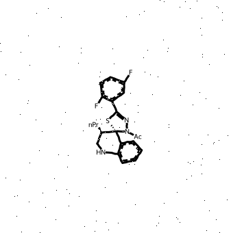 CCC[C@@H]1CNc2ccccc2[C@@]12SC(c1cc(F)ccc1F)=NN2C(C)=O